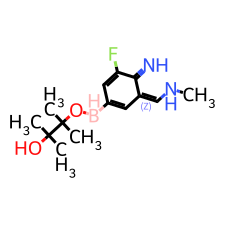 CN/C=C1/C=C(BOC(C)(C)C(C)(C)O)C=C(F)C1=N